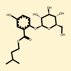 CC(C)CCOC(=O)c1cc(O)ccc1O[C@@H]1O[C@H](CO)[C@@H](O)[C@H](O)[C@H]1O